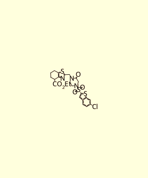 CCOC(=O)C1CCCc2sc(CN3CCN(S(=O)(=O)c4cc5ccc(Cl)cc5s4)CC3=O)nc21